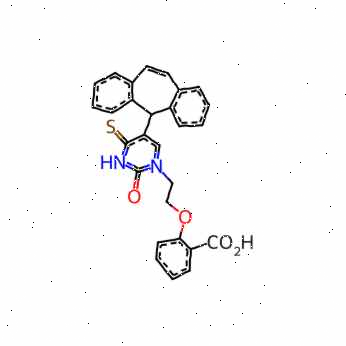 O=C(O)c1ccccc1OCCn1cc(C2c3ccccc3C=Cc3ccccc32)c(=S)[nH]c1=O